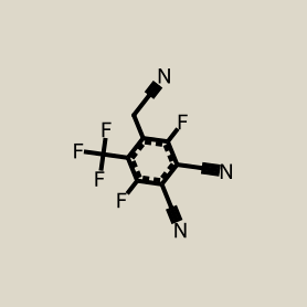 N#CCc1c(F)c(C#N)c(C#N)c(F)c1C(F)(F)F